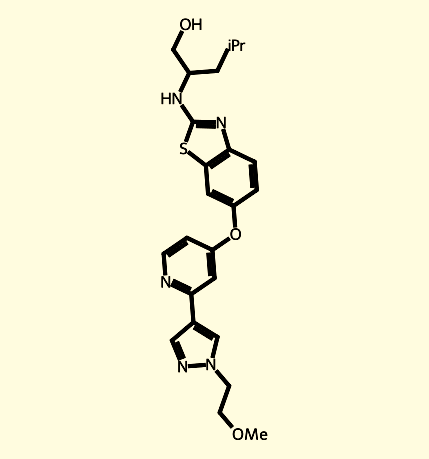 COCCn1cc(-c2cc(Oc3ccc4nc(NC(CO)CC(C)C)sc4c3)ccn2)cn1